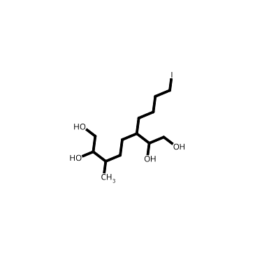 CC(CCC(CCCCI)C(O)CO)C(O)CO